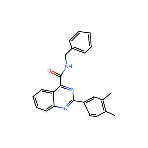 Cc1ccc(-c2nc(C(=O)NCc3ccccc3)c3ccccc3n2)cc1C